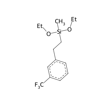 CCO[Si](C)(CCc1cccc(C(F)(F)F)c1)OCC